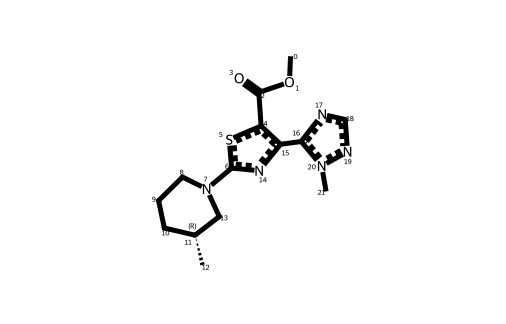 COC(=O)c1sc(N2CCC[C@@H](C)C2)nc1-c1ncnn1C